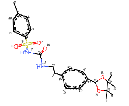 Cc1ccc(S(=O)(=O)NC(=O)NCCc2ccc(C3OC(C)(C)C(C)(C)O3)cc2)cc1